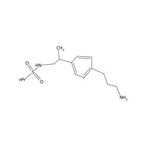 CCCS(=O)(=O)NCC(C)c1ccc(CCCN)cc1